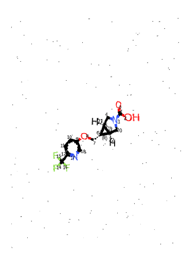 O=C(O)N1C[C@@H]2[C@@H](COc3ccc(C(F)(F)F)nc3)[C@@H]2C1